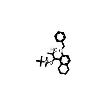 CC(O)C(O[Si](C)(C)C(C)(C)C)c1c(OCc2ccccc2)ccc2c1CCCC2